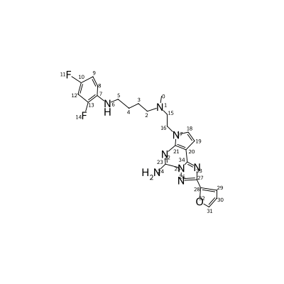 CN(CCCCNc1ccc(F)cc1F)CCn1ccc2c1nc(N)n1nc(-c3ccco3)nc21